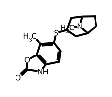 Cc1c(SC2CC3CCC(C2)N3C)ccc2[nH]c(=O)oc12